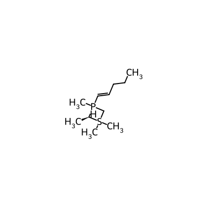 CCCC=C[PH]1(C)CS(C)(C)[C@H]1C